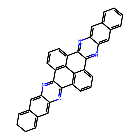 C1=c2cc3nc4c5cccc6c7nc8cc9ccccc9cc8nc7c7cccc(c4nc3cc2=CCC1)c7c56